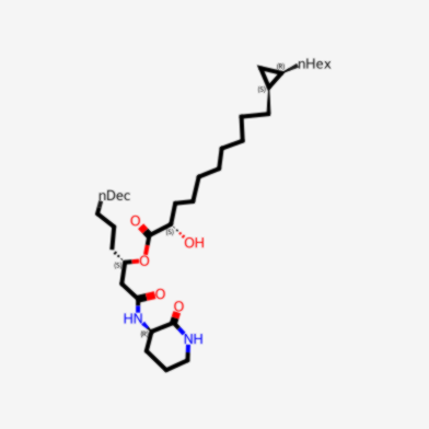 CCCCCCCCCCCCC[C@@H](CC(=O)N[C@@H]1CCCNC1=O)OC(=O)[C@@H](O)CCCCCCCC[C@H]1C[C@H]1CCCCCC